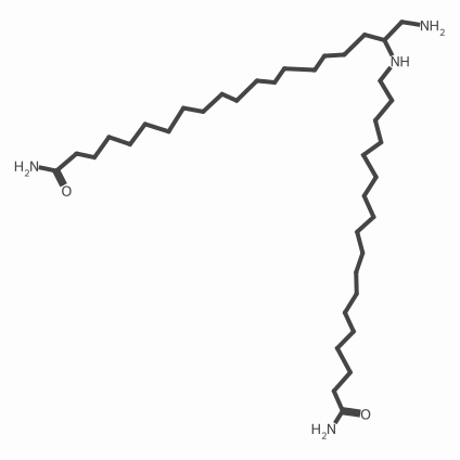 NCC(CCCCCCCCCCCCCCCCCC(N)=O)NCCCCCCCCCCCCCCCCCC(N)=O